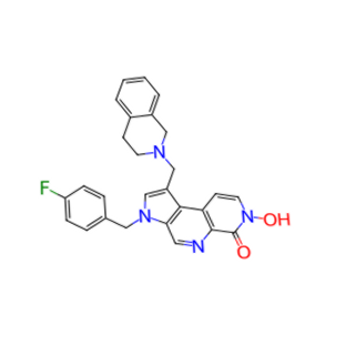 O=c1c2ncc3c(c(CN4CCc5ccccc5C4)cn3Cc3ccc(F)cc3)c2ccn1O